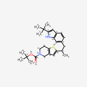 CC(Cc1ccc2cc(C(C)(C)C)[nH]c2c1)c1cc2c(s1)CCN(C(=O)OC(C)(C)C)C2